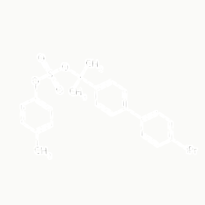 Cc1ccc(OS(=O)(=O)OC(C)(C)c2ccc(-c3ccc(C(C)C)cc3)cc2)cc1